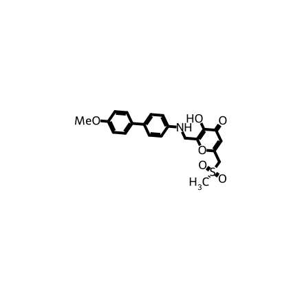 COc1ccc(-c2ccc(NCc3oc(CS(C)(=O)=O)cc(=O)c3O)cc2)cc1